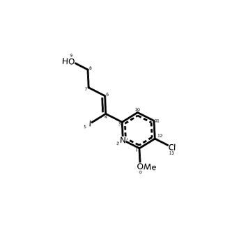 COc1nc(C(I)=CCCO)ccc1Cl